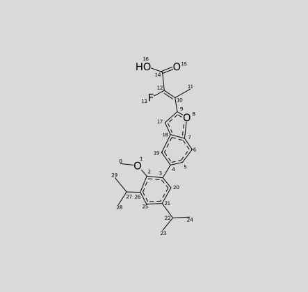 COc1c(-c2ccc3oc(C(C)=C(F)C(=O)O)cc3c2)cc(C(C)C)cc1C(C)C